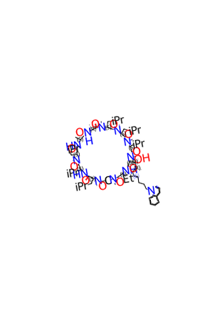 CC[C@@H]1NC(=O)[C@H]([C@H](O)[C@H](C)C/C=C/CCC[n+]2cccc3ccccc32)N(C)C(=O)[C@H](C(C)C)N(C)C(=O)[C@H](CC(C)C)N(C)C(=O)[C@H](CC(C)C)N(C)C(=O)[C@@H](C)NC(=O)[C@H](C)NC(=O)[C@H](CC(C)C)N(C)C(=O)[C@H](C(C)C)NC(=O)[C@H](CC(C)C)N(C)C(=O)CN(C)C1=O